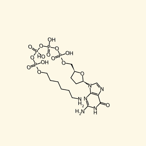 NCCCCCCOP(=O)(O)OP(=O)(O)OP(=O)(O)OP(=O)(O)OC[C@@H]1CC[C@H](n2cnc3c(=O)[nH]c(N)nc32)O1